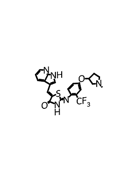 CN1CCC(Oc2ccc(/N=C3/NC(=O)/C(=C/c4c[nH]c5ncccc45)S3)c(C(F)(F)F)c2)C1